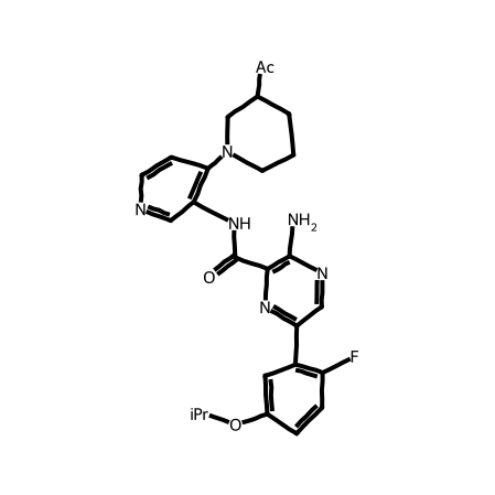 CC(=O)C1CCCN(c2ccncc2NC(=O)c2nc(-c3cc(OC(C)C)ccc3F)cnc2N)C1